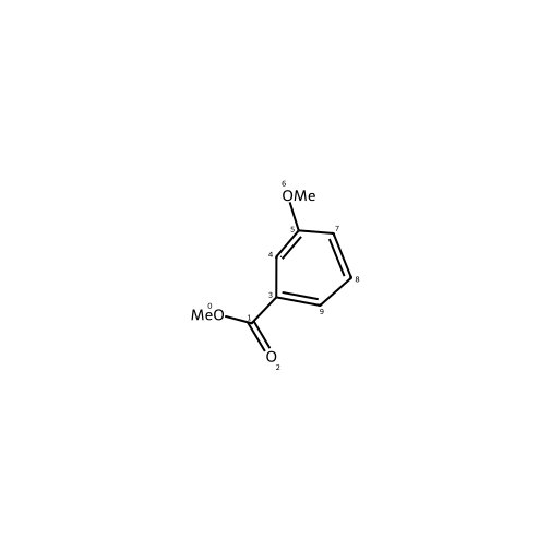 COC(=O)c1[c]c(OC)ccc1